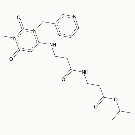 CC(C)OC(=O)CCNC(=O)CCNc1cc(=O)n(C)c(=O)n1Cc1cccnc1